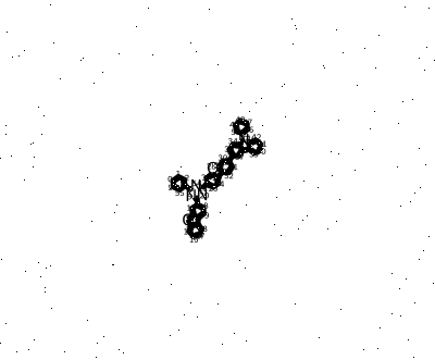 c1ccc(-c2nc(-c3ccc4c(c3)oc3ccccc34)nc(-c3ccc4c(c3)oc3cc(-c5ccc6c(c5)c5ccccc5n6-c5ccccc5)ccc34)n2)cc1